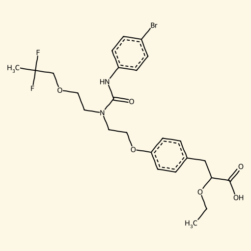 CCOC(Cc1ccc(OCCN(CCOCC(C)(F)F)C(=O)Nc2ccc(Br)cc2)cc1)C(=O)O